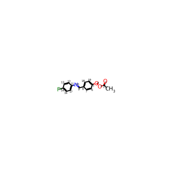 CC(=O)OOc1ccc(/C=N/c2ccc(F)cc2)cc1